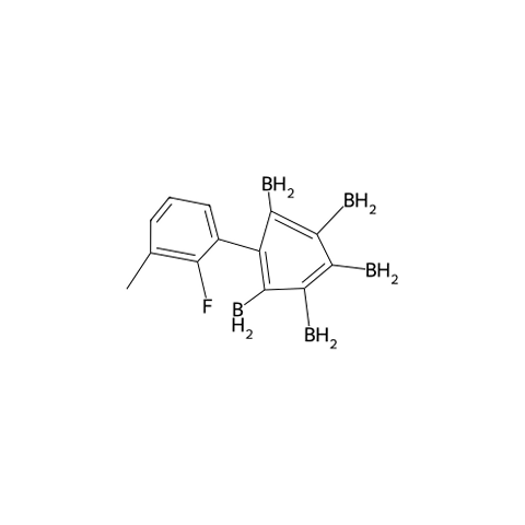 Bc1c(B)c(B)c(-c2cccc(C)c2F)c(B)c1B